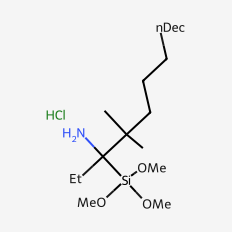 CCCCCCCCCCCCCC(C)(C)C(N)(CC)[Si](OC)(OC)OC.Cl